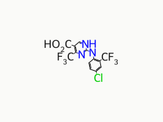 O=C(O)c1cnc(Nc2ccc(Cl)cc2C(F)(F)F)nc1C(F)(F)F